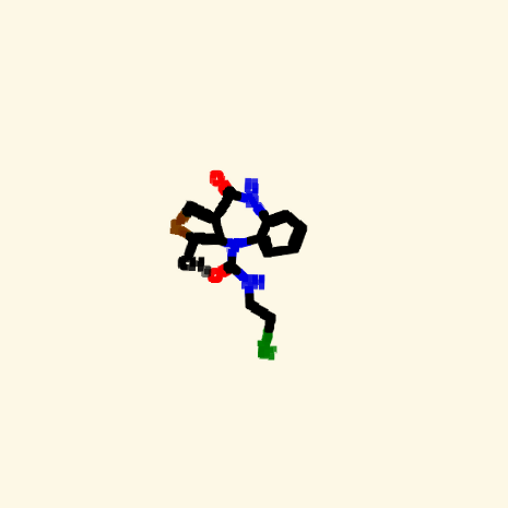 Cc1scc2c1N(C(=O)NCCBr)c1ccccc1NC2=O